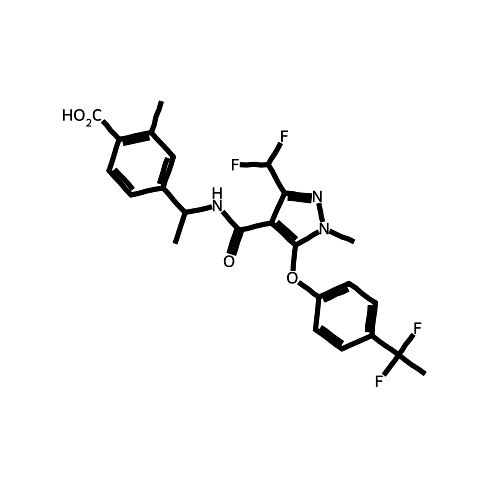 Cc1cc(C(C)NC(=O)c2c(C(F)F)nn(C)c2Oc2ccc(C(C)(F)F)cc2)ccc1C(=O)O